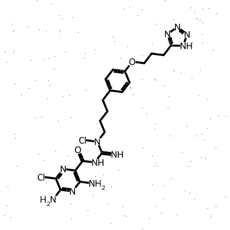 N=C(NC(=O)c1nc(Cl)c(N)nc1N)N(Cl)CCCCc1ccc(OCCCc2nnn[nH]2)cc1